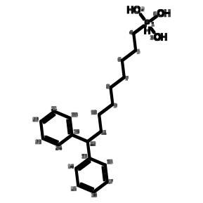 O[PH](O)(O)CCCCCCCCC(c1ccccc1)c1ccccc1